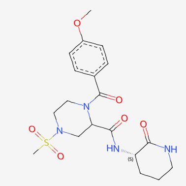 COc1ccc(C(=O)N2CCN(S(C)(=O)=O)CC2C(=O)N[C@H]2CCCNC2=O)cc1